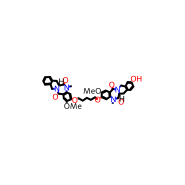 COc1cc2c(cc1OCCCCCOc1cc3c(cc1OC)C(=O)N1Cc4cc(O)ccc4C[C@H]1C(=O)N3C)N(C)C(=O)[C@@H]1Cc3ccccc3CN1C2=O